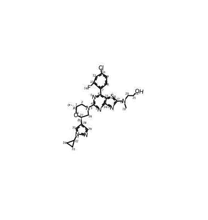 C[C@@H]1CN(c2nc(-c3ccc(Cl)cc3F)c3sc(N(C)CCO)nc3n2)C[C@@H](c2cnn(C3CC3)c2)O1